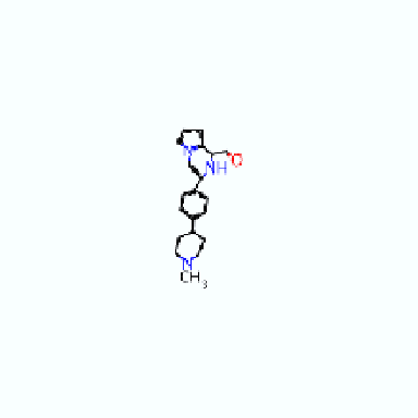 CN1CCC(c2ccc(C3=Cn4cccc4C(C=O)N3)cc2)CC1